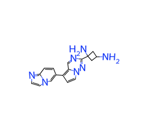 NC1CC(N)(c2ncc3c(-c4ccc5nccn5c4)ccn3n2)C1